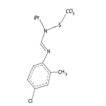 Cc1cc(Cl)ccc1N=CN(SC(Cl)(Cl)Cl)C(C)C